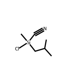 CC(C)C[Si](C)(Cl)C#N